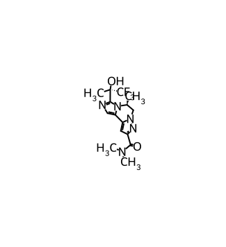 C[C@H]1Cn2nc(C(=O)N(C)C)cc2-c2cnc([C@@](C)(O)C(F)(F)F)n21